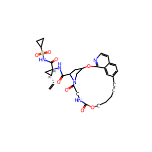 C=C[C@@H]1C[C@]1(NC(=O)C1CC2CN1C(=O)CNC(=O)OCCCCCc1ccc3ccnc(c3c1)O2)C(=O)NS(=O)(=O)C1CC1